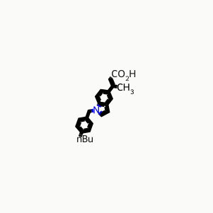 CCCCc1ccc(Cn2ccc3cc(C(C)=CC(=O)O)ccc32)cc1